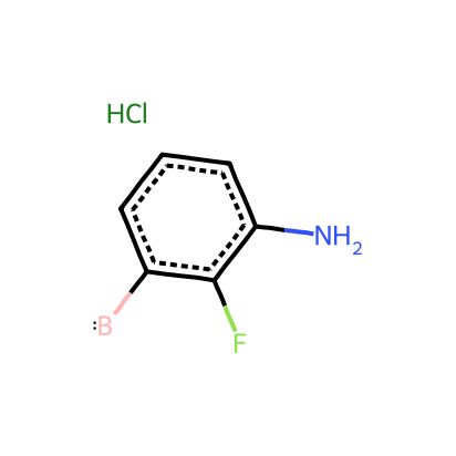 Cl.[B]c1cccc(N)c1F